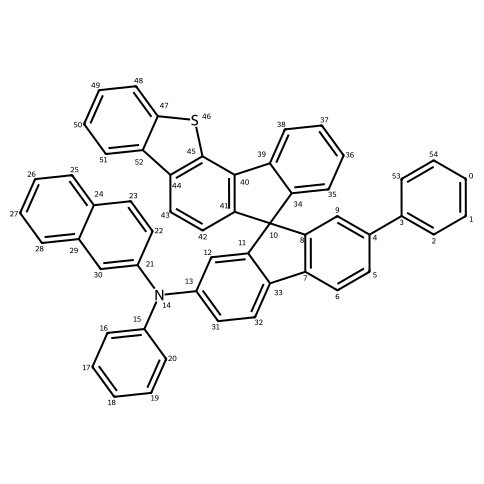 c1ccc(-c2ccc3c(c2)C2(c4cc(N(c5ccccc5)c5ccc6ccccc6c5)ccc4-3)c3ccccc3-c3c2ccc2c3sc3ccccc32)cc1